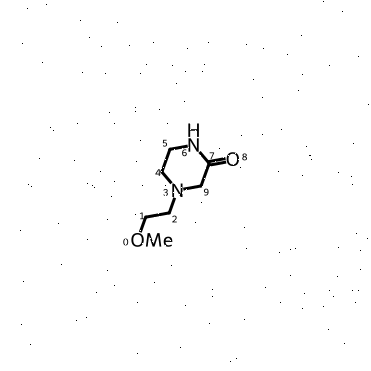 COCCN1CCNC(=O)C1